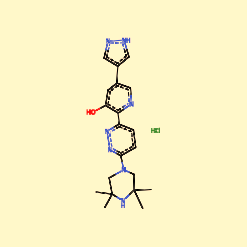 CC1(C)CN(c2ccc(-c3ncc(-c4cn[nH]c4)cc3O)nn2)CC(C)(C)N1.Cl